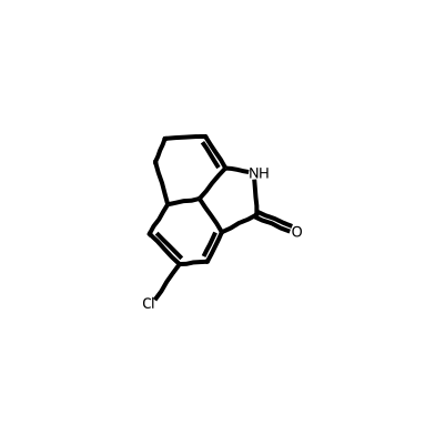 O=C1NC2=CCCC3C=C(Cl)C=C1C23